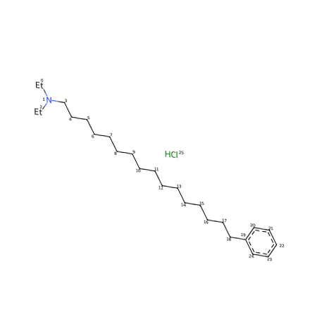 CCN(CC)CCCCCCCCCCCCCCCCc1ccccc1.Cl